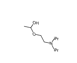 CC(O)OCCN(C(C)C)C(C)C